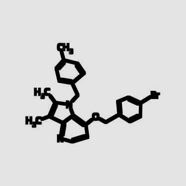 Cc1ccc(Cn2c(C)c(C)c3nccc(OCc4ccc(Br)cc4)c32)cc1